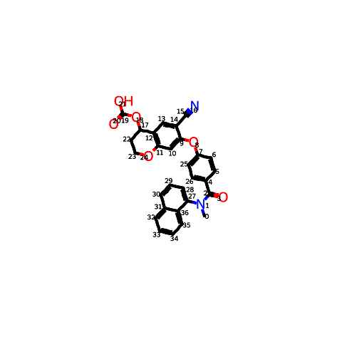 CN(C(=O)c1ccc(Oc2cc3c(cc2C#N)C(OC(=O)O)CCO3)cc1)c1cccc2ccccc12